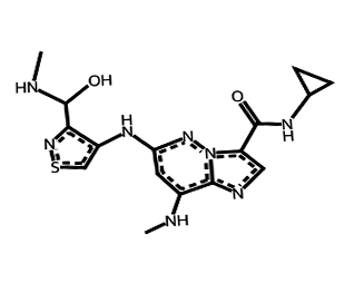 CNc1cc(Nc2csnc2C(O)NC)nn2c(C(=O)NC3CC3)cnc12